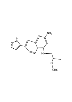 CC(CNc1nc(N)nc2cc(-c3ccn[nH]3)ccc12)OC=O